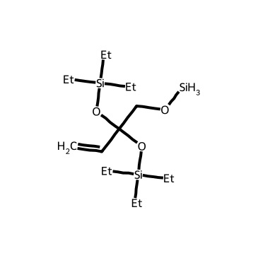 C=CC(CO[SiH3])(O[Si](CC)(CC)CC)O[Si](CC)(CC)CC